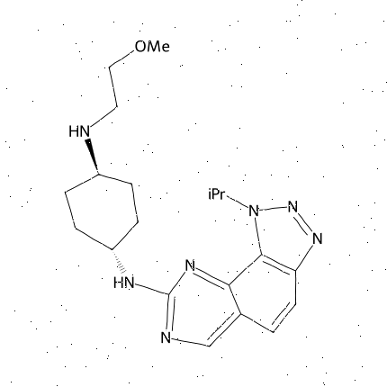 COCCN[C@H]1CC[C@H](Nc2ncc3ccc4nnn(C(C)C)c4c3n2)CC1